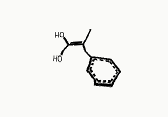 CC(=C(O)O)c1ccccc1